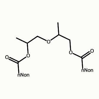 CCCCCCCCCC(=O)OCC(C)OCC(C)OC(=O)CCCCCCCCC